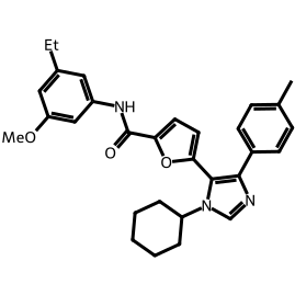 CCc1cc(NC(=O)c2ccc(-c3c(-c4ccc(C)cc4)ncn3C3CCCCC3)o2)cc(OC)c1